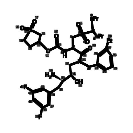 CCCC(CCC)S(=O)(=O)CC(NC(=O)OC1CCS(=O)(=O)C1)C(=O)N(Cc1cccc(CC)c1)C[C@@H](O)[C@@H](N)Cc1cc(F)cc(F)c1